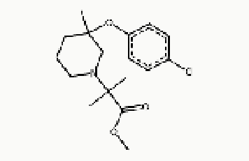 COC(=O)C(C)(C)N1CCCC(C)(Oc2ccc(Cl)cc2)C1